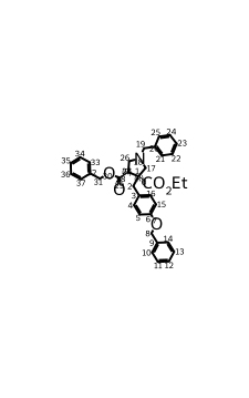 CCOC(=O)[C@@]1(Cc2ccc(OCc3ccccc3)cc2)CN(Cc2ccccc2)C[C@@H]1C(=O)OCc1ccccc1